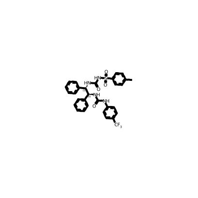 Cc1ccc(S(=O)(=O)NC(=O)N[C@@H](c2ccccc2)[C@@H](NC(=O)Nc2ccc(C(F)(F)F)cc2)c2ccccc2)cc1